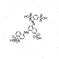 Nc1ccc(N=Nc2ccc(N=Nc3cc(S(=O)(=O)O)ccc3S(=O)(=O)O)c3ccc(S(=O)(=O)O)cc23)c2cccc(S(=O)(=O)O)c12